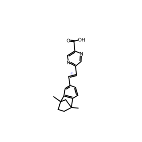 CC12CCC(C)(C1)c1cc(/C=C/c3cnc(C(=O)O)cn3)ccc12